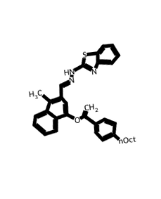 C=C(Oc1cc(/C=N/Nc2nc3ccccc3s2)c(C)c2ccccc12)c1ccc(CCCCCCCC)cc1